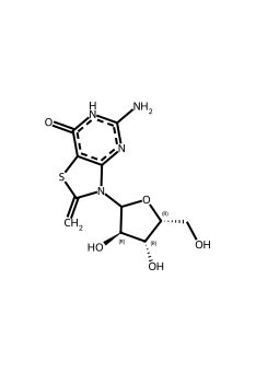 C=C1Sc2c(nc(N)[nH]c2=O)N1C1O[C@H](CO)[C@H](O)[C@H]1O